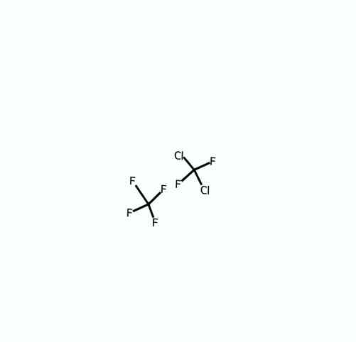 FC(F)(Cl)Cl.FC(F)(F)F